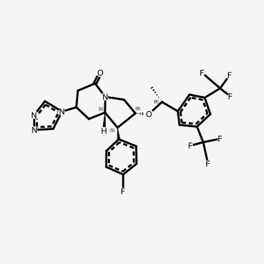 C[C@@H](O[C@H]1CN2C(=O)CC(n3cnnc3)C[C@H]2[C@@H]1c1ccc(F)cc1)c1cc(C(F)(F)F)cc(C(F)(F)F)c1